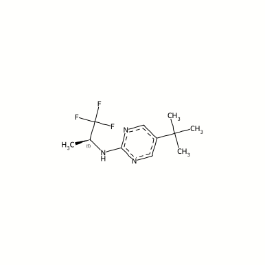 C[C@H](Nc1ncc(C(C)(C)C)cn1)C(F)(F)F